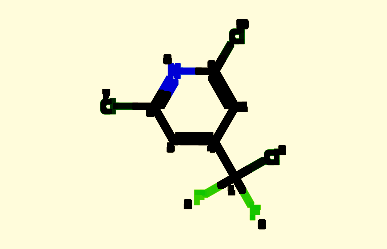 FC(F)(Cl)c1cc(Cl)nc(Cl)c1